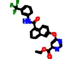 CCOC(=O)c1cc(Oc2ccc3c(C(=O)Nc4cccc(C(F)(F)F)c4)cccc3c2)ncn1